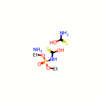 CCOP(=O)(NC(O)=S)OCC.N.NC(O)=S